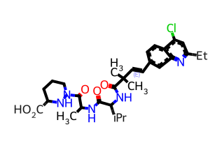 CCc1cc(Cl)c2ccc(/C=C/C(C)(C)C(=O)NC(C(=O)NC(C)C(=O)N3CCCC(C(=O)O)N3)C(C)C)cc2n1